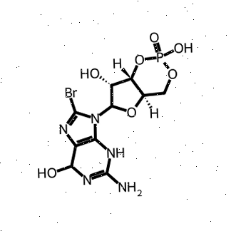 NC1=NC(O)c2nc(Br)n(C3O[C@@H]4COP(=O)(O)O[C@H]4[C@H]3O)c2N1